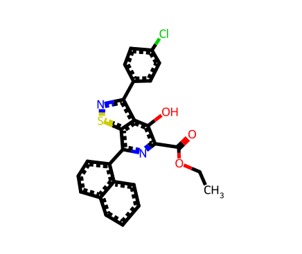 CCOC(=O)c1nc(-c2cccc3ccccc23)c2snc(-c3ccc(Cl)cc3)c2c1O